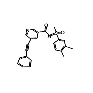 Cc1ccc(S(C)(=O)=NC(=O)c2cncc(C#Cc3ccccc3)c2)cc1C